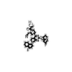 C=C(F)C(=O)N1CCN(c2nc(OC[C@@]34CCCN3C[C@H](F)C4)nc3c2CCN(c2ccc(F)c4c2CCCC4)C3)C[C@@H]1CC#N